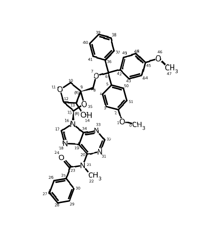 COc1ccc(C(OC[C@]23COC(C2O)[C@H](n2cnc4c(N(C)C(=O)c5ccccc5)ncnc42)O3)(c2ccccc2)c2ccc(OC)cc2)cc1